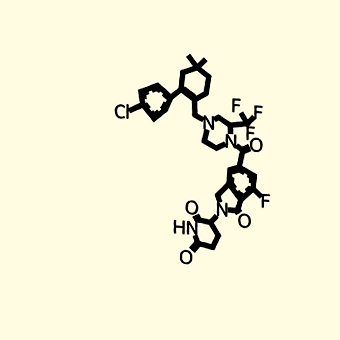 CC1(C)CCC(CN2CCN(C(=O)c3cc(F)c4c(c3)CN(C3CCC(=O)NC3=O)C4=O)C(C(F)(F)F)C2)=C(c2ccc(Cl)cc2)C1